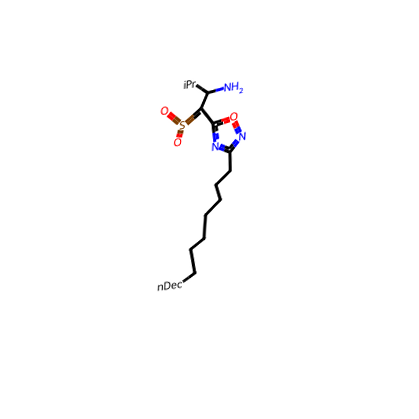 CCCCCCCCCCCCCCCCCc1noc(C(C(N)C(C)C)=S(=O)=O)n1